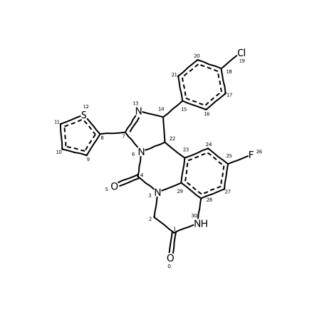 O=C1CN2C(=O)N3C(c4cccs4)=NC(c4ccc(Cl)cc4)C3c3cc(F)cc(c32)N1